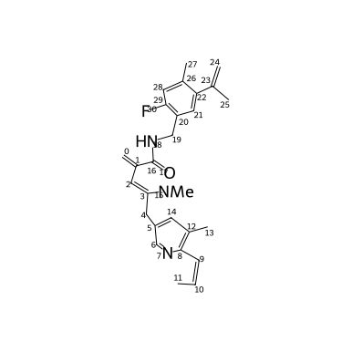 C=C(/C=C(/Cc1cnc(/C=C\C)c(C)c1)NC)C(=O)NCc1cc(C(=C)C)c(C)cc1F